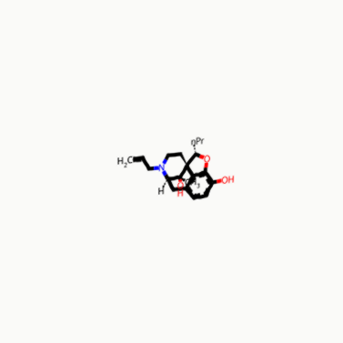 C=CCN1CC[C@]23c4c(ccc(O)c4O[C@H]2CCC)C[C@@H]1[C@@]3(C)O